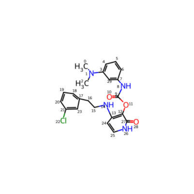 CN(C)c1cccc(NC(=O)Oc2c(NCCc3cccc(Cl)c3)cc[nH]c2=O)c1